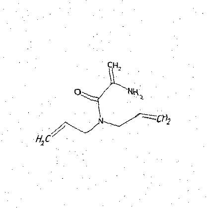 C=CCN(CC=C)C(=O)C(=C)N